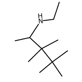 CCNC(C)C(C)(C)C(C)(C)C